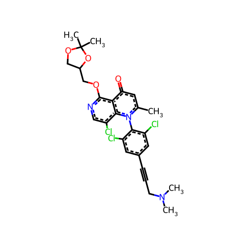 Cc1cc(=O)c2c(OCC3COC(C)(C)O3)ncc(Cl)c2n1-c1c(Cl)cc(C#CCN(C)C)cc1Cl